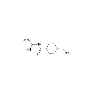 CNC(=N)NC(=O)C1CCC(CN)CC1